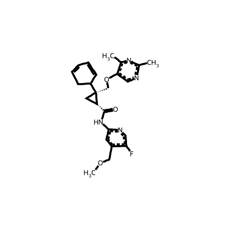 COCc1cc(NC(=O)[C@@H]2C[C@@]2(COc2cnc(C)nc2C)C2C=CC=CC2)ncc1F